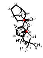 CC(C)(C)NC(=O)OC1CC2CCC(C1)N2C(=O)c1cc(Br)cs1